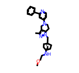 COCCNC12CCC(Cn3nc(C)c4c3CCN(c3ccnc(-c5ccccc5)c3)C4)(CC1)CC2